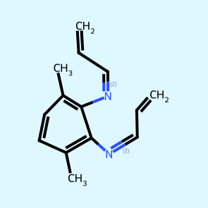 C=C/C=N\c1c(C)ccc(C)c1/N=C\C=C